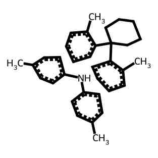 Cc1ccc(Nc2ccc(C)cc2)cc1.Cc1ccccc1C1(c2ccccc2C)CCCCC1